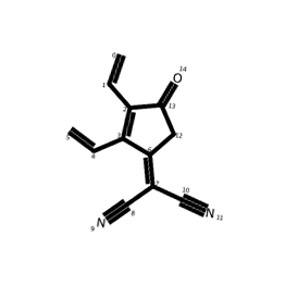 C=CC1=C(C=C)C(=C(C#N)C#N)CC1=O